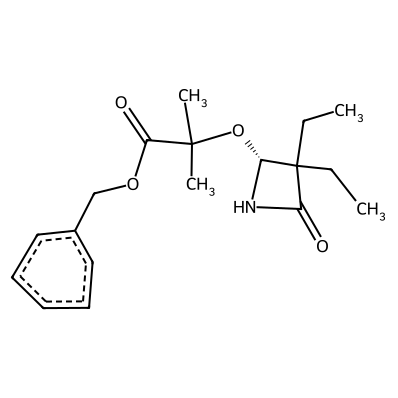 CCC1(CC)C(=O)N[C@@H]1OC(C)(C)C(=O)OCc1ccccc1